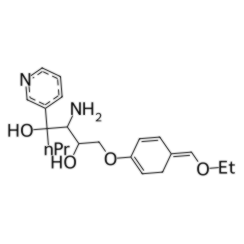 CCCC(O)(c1cccnc1)C(N)C(O)COC1=CCC(=COCC)C=C1